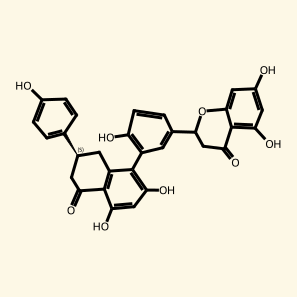 O=C1CC(c2ccc(O)c(-c3c(O)cc(O)c4c3C[C@H](c3ccc(O)cc3)CC4=O)c2)Oc2cc(O)cc(O)c21